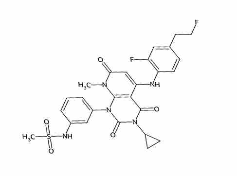 Cn1c(=O)cc(Nc2ccc(CCF)cc2F)c2c(=O)n(C3CC3)c(=O)n(-c3cccc(NS(C)(=O)=O)c3)c21